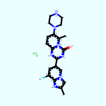 Cc1cn2cc(-c3nc(=O)n4c(C)c(N5CCNCC5)ccc4n3)cc(F)c2n1.Cl